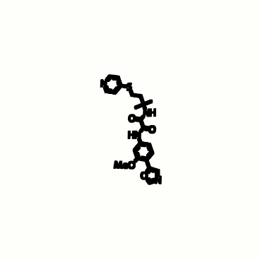 COc1cc(NC(=O)C(=O)NC(C)(C)CCSc2ccncc2)ccc1-c1cnco1